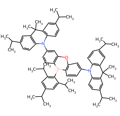 CC(C)c1cc(C(C)C)c(B2c3ccc(N4c5ccc(C(C)C)cc5C(C)(C)c5cc(C(C)C)ccc54)cc3Oc3cc(N4c5ccc(C(C)C)cc5C(C)(C)c5cc(C(C)C)ccc54)ccc32)c(C(C)C)c1